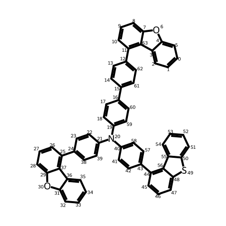 c1ccc2c(c1)oc1cccc(-c3ccc(-c4ccc(N(c5ccc(-c6cccc7oc8ccccc8c67)cc5)c5ccc(-c6cccc7sc8ccccc8c67)cc5)cc4)cc3)c12